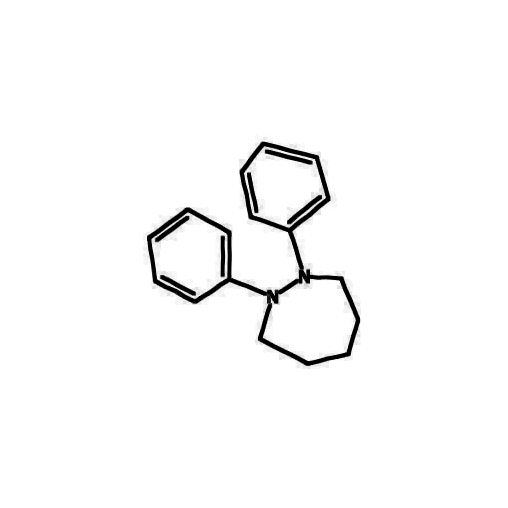 c1ccc(N2CCCCCN2c2ccccc2)cc1